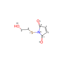 O=C1C=CC(=O)N1SCCO